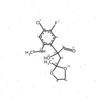 CNc1cc(Cl)c(F)cc1C(O)(C=O)CC1(C)OCCO1